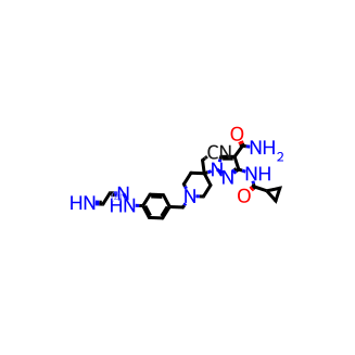 N#CCC1(n2cc(C(N)=O)c(NC(=O)C3CC3)n2)CCN(Cc2ccc(N/N=C\C=N)cc2)CC1